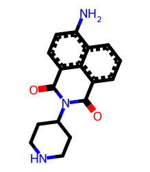 Nc1ccc2c3c(cccc13)C(=O)N(C1CCNCC1)C2=O